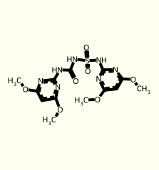 COc1cc(OC)nc(NC(=O)NS(=O)(=O)Nc2nc(OC)cc(OC)n2)n1